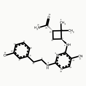 CC1(C)[C@@H](Nc2nc(NCCc3cccc(Cl)c3)ncc2C#N)C[C@@H]1C(N)=O